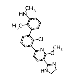 CNc1cccc(-c2cccc(-c3ccc(C4=NCCN4)c(OC)n3)c2Cl)c1C